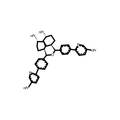 CCCc1ccc(-c2ccc(C(OC(c3ccc(-c4ccc(CCC)cn4)cc3)[C@H]3CC[C@H](CCC)CC3)[C@H]3CC[C@H](CCC)CC3)cc2)nc1